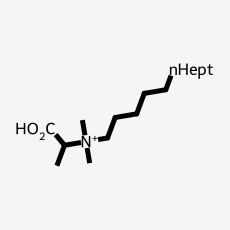 CCCCCCCCCCCC[N+](C)(C)C(C)C(=O)O